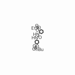 CCCCS(=O)(=O)Oc1ccc(NC(=O)Nc2ccccc2OS(=O)(=O)CC)cc1